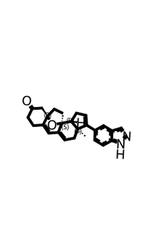 C[C@]12CC=C3C=C4CCC(=O)C[C@]45CC[C@]3(O5)[C@@H]1CC=C2c1ccc2[nH]ncc2c1